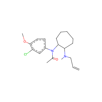 C=CCN(C)C1CCCCCC1N(C(C)=O)c1ccc(OC)c(Cl)c1